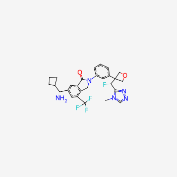 Cn1cnnc1[C@H](F)C1(c2cccc(N3Cc4c(cc([C@H](N)C5CCC5)cc4C(F)(F)F)C3=O)c2)COC1